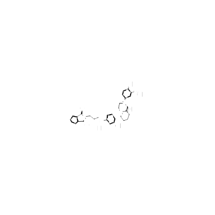 COc1cc(N2CCN3[C@@H](CCC[C@@H]3c3ccc(OCCCN4C(=O)c5ccccc5C4=O)c(C)c3C)C2)ccc1Cl